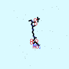 C\C=C(/C=C(C)/C=C/CC/C=C(\C)C(=O)[C@]1(C(N)=O)O[C@H]1[C@H](C)O)C(=O)OC(C)(C)C